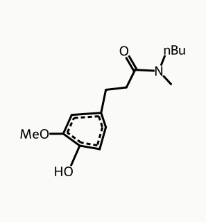 CCCCN(C)C(=O)CCc1ccc(O)c(OC)c1